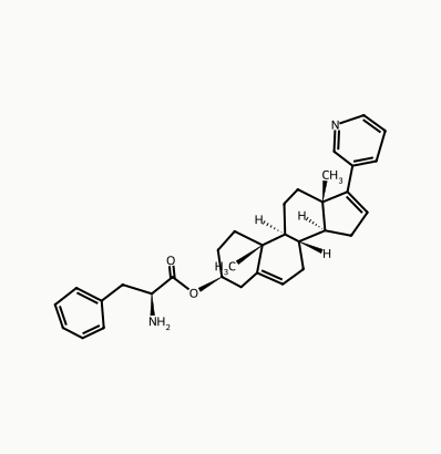 C[C@]12CC[C@H](OC(=O)[C@@H](N)Cc3ccccc3)CC1=CC[C@@H]1[C@@H]2CC[C@]2(C)C(c3cccnc3)=CC[C@@H]12